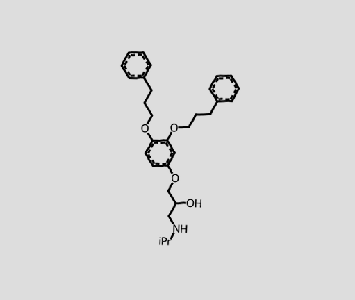 CC(C)NCC(O)COc1ccc(OCCCc2ccccc2)c(OCCCc2ccccc2)c1